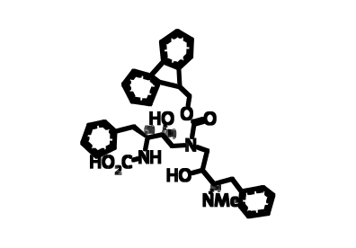 CN[C@@H](Cc1ccccc1)C(O)CN(C[C@@H](O)[C@H](Cc1ccccc1)NC(=O)O)C(=O)OCC1c2ccccc2-c2ccccc21